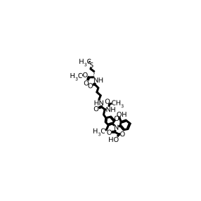 CCc1cc(CC(NC(C)=O)C(=O)NCCCCC(=O)N[C@@H](CCSC)C(=O)OC)ccc1N(C(=O)C(=O)O)c1ccccc1C(=O)O